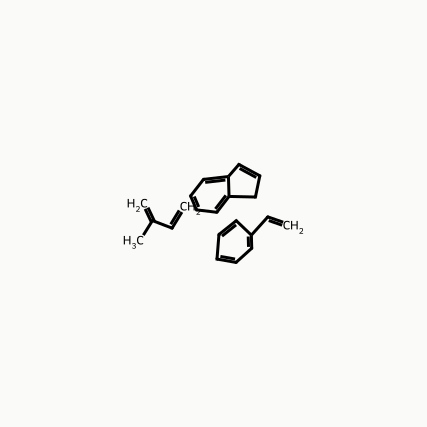 C1=Cc2ccccc2C1.C=CC(=C)C.C=Cc1ccccc1